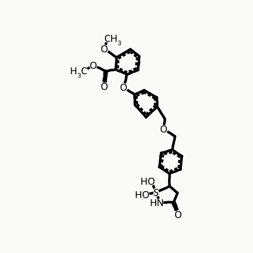 COC(=O)c1c(OC)cccc1Oc1ccc(COCc2ccc(C3CC(=O)NS3(O)O)cc2)cc1